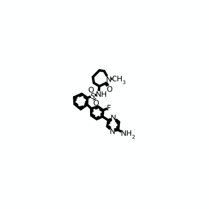 CN1CCCCC(NS(=O)(=O)c2ccccc2-c2ccc(-c3cnc(N)cn3)c(F)c2)C1=O